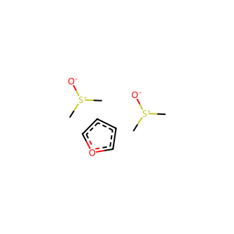 C[S+](C)[O-].C[S+](C)[O-].c1ccoc1